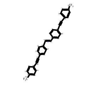 FC(F)(F)c1ccc(C#Cc2ccc(/C=C/c3ccc(C#Cc4ccc(C(F)(F)F)cc4)cc3)cc2)cc1